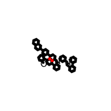 c1cc(N2Cc3ccccc3-c3ccccc32)cc(N(c2ccc(-c3ccc(-c4ccc5ccccc5c4)cc3)cc2)c2ccccc2-c2ccc3c(c2)oc2ccccc23)c1